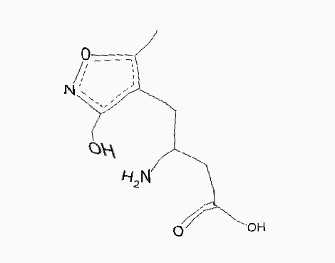 Cc1onc(O)c1CC(N)CC(=O)O